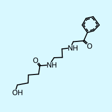 O=C(CCCCO)NCCCNCC(=O)c1ccccc1